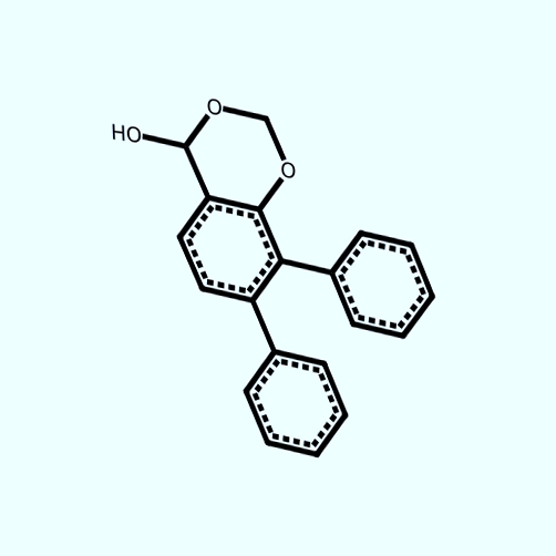 OC1OCOc2c1ccc(-c1ccccc1)c2-c1ccccc1